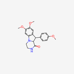 COc1ccc(C2c3cc(OC)c(OC)cc3N3CCNC(=O)C23)cc1